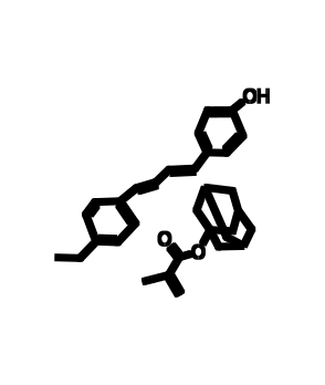 C=C(C)C(=O)OC12CC3CC(CC(C3)C1)C2.CCc1ccc(C=CC=Cc2ccc(O)cc2)cc1